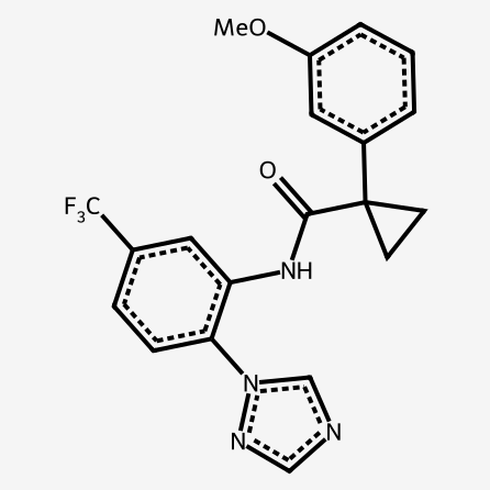 COc1cccc(C2(C(=O)Nc3cc(C(F)(F)F)ccc3-n3cncn3)CC2)c1